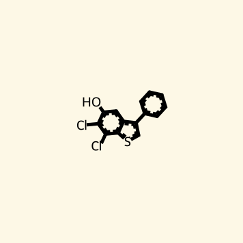 Oc1cc2c(-c3ccccc3)csc2c(Cl)c1Cl